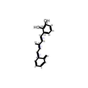 C=c1cccc/c1=C/C=C(C)/C=C/c1cccc(O)c1O